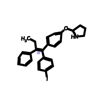 CC/C(=C(/c1ccc(I)cc1)c1ccc(OC2CCCN2)cc1)c1ccccc1